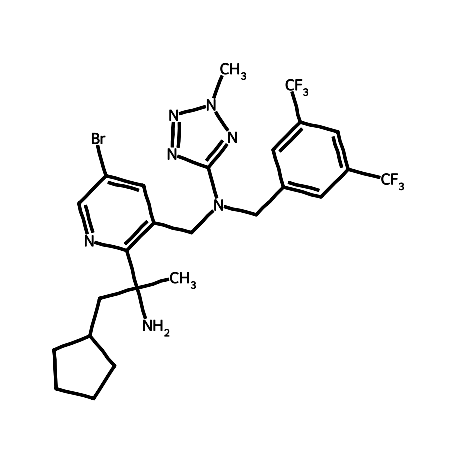 Cn1nnc(N(Cc2cc(C(F)(F)F)cc(C(F)(F)F)c2)Cc2cc(Br)cnc2C(C)(N)CC2CCCC2)n1